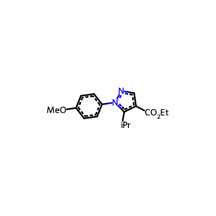 CCOC(=O)c1cnn(-c2ccc(OC)cc2)c1C(C)C